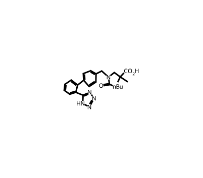 CCCCC(=O)N(Cc1ccc(-c2ccccc2-c2nnn[nH]2)cc1)CC(C)(C)C(=O)O